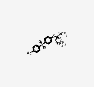 CC(=O)c1ccc(S(=O)(=O)c2ccc(SC(SC(F)(F)F)(SC(F)(F)F)SC(F)(F)F)cc2)cc1